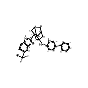 FC(F)(F)c1ccc2nc(C34CC5CC(CC(Nc6ccc(-c7ccccc7)nn6)(C5)C3)C4)[nH]c2c1